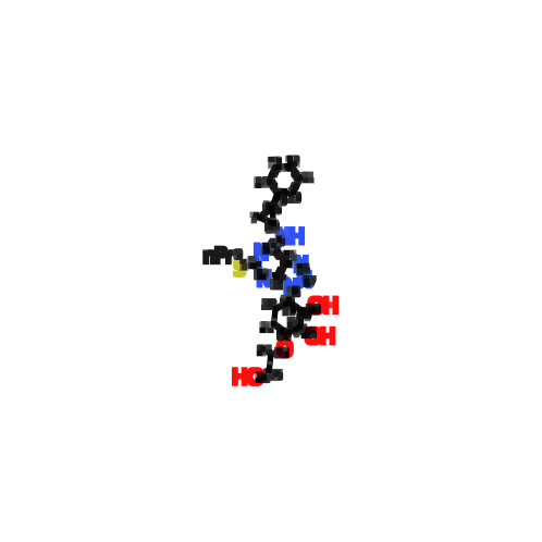 CCCSc1nc(N[C@@H]2C[C@H]2c2ccccc2)c2nnn([C@@H]3CC[C@H](OCCO)[C@@H](O)[C@H]3O)c2n1